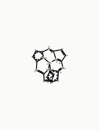 C1=CC2=[N+]3C1=Nc1ccc4n1[N+]31n3c(ccc3=NC3=[N+]1C(=N4)C=C3)=N2